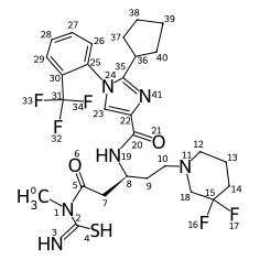 CN(C(=N)S)C(=O)C[C@H](CCN1CCCC(F)(F)C1)NC(=O)c1cn(-c2ccccc2C(F)(F)F)c(C2CCCC2)n1